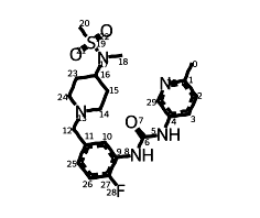 Cc1ccc(NC(=O)Nc2cc(CN3CCC(N(C)S(C)(=O)=O)CC3)ccc2F)cn1